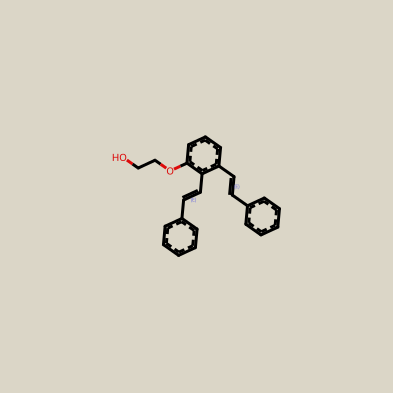 OCCOc1cccc(/C=C/c2ccccc2)c1/C=C/c1ccccc1